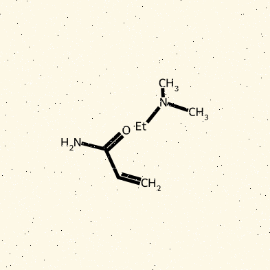 C=CC(N)=O.C[CH]N(C)C